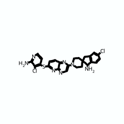 Nc1nccc(Sc2ccc3nc(N4CCC5(CC4)Cc4cc(Cl)ccc4[C@H]5N)cnc3n2)c1Cl